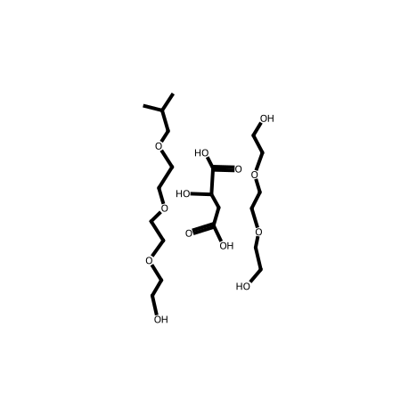 CC(C)COCCOCCOCCO.O=C(O)CC(O)C(=O)O.OCCOCCOCCO